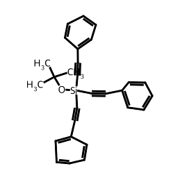 CC(C)(C)O[Si](C#Cc1ccccc1)(C#Cc1ccccc1)C#Cc1ccccc1